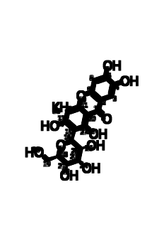 O=c1c2cc(O)c(O)cc2oc2cc(O)c([C@@H]3O[C@H](CO)[C@@H](O)[C@H](O)[C@H]3O)c(O)c12.[KH]